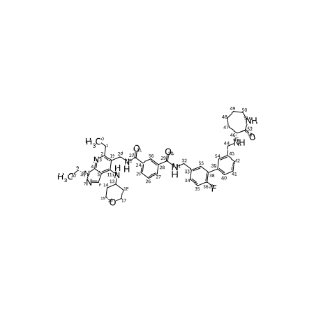 CCc1nc2c(cnn2CC)c(NC2CCOCC2)c1CNC(=O)c1cccc(C(=O)NCc2ccc(F)c(-c3cccc(CN[C@@H]4CCCCNC4=O)c3)c2)c1